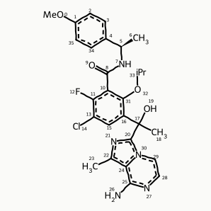 COc1ccc([C@@H](C)NC(=O)c2c(F)c(Cl)cc(C(C)(O)c3nc(C)c4c(N)nccn34)c2OC(C)C)cc1